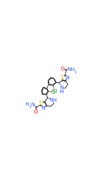 NC(=O)c1nc2c(s1)C(c1cccc(-c3cccc(C4NCCc5nc(C(N)=O)sc54)c3Cl)c1Cl)NCC2